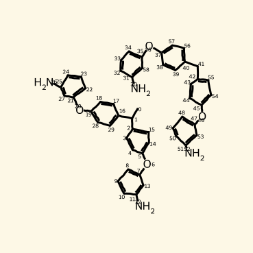 CC(c1ccc(Oc2cccc(N)c2)cc1)c1ccc(Oc2cccc(N)c2)cc1.Nc1cccc(Oc2ccc(Cc3ccc(Oc4cccc(N)c4)cc3)cc2)c1